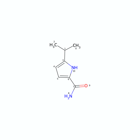 CC(C)c1ccc(C(N)=O)[nH]1